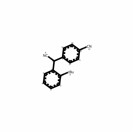 CC(C)(C)c1ccccc1C(C#N)c1ccc(C#N)cc1